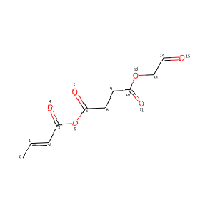 CC=CC(=O)OC(=O)CCC(=O)OCC=O